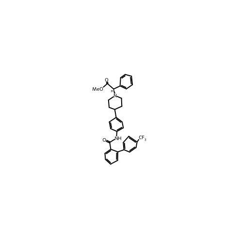 COC(=O)[C@@H](c1ccccc1)N1CCC(c2ccc(NC(=O)c3ccccc3-c3ccc(C(F)(F)F)cc3)cc2)CC1